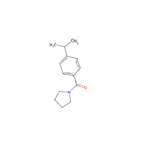 CC(C)c1ccc(C(=O)N2CCCC2)cc1